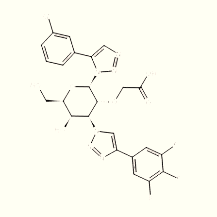 O=C(O)CO[C@@H]1[C@@H](n2cc(-c3cc(F)c(F)c(F)c3)nn2)[C@@H](O)[C@@H](CO)O[C@H]1n1nncc1-c1cccc(Cl)c1